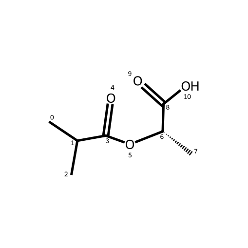 CC(C)C(=O)O[C@@H](C)C(=O)O